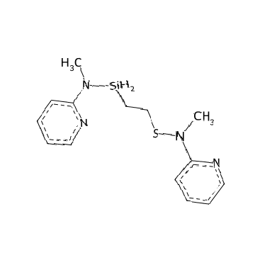 CN([SiH2]CCSN(C)c1ccccn1)c1ccccn1